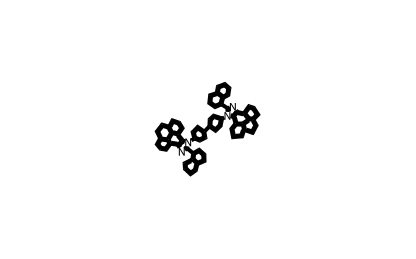 c1ccc2c(-c3nc4c5cccc6ccc7cccc(c7c65)c4n3-c3ccc(-c4ccc(-n5c(-c6cccc7ccccc67)nc6c7cccc8ccc9cccc(c9c87)c65)cc4)cc3)cccc2c1